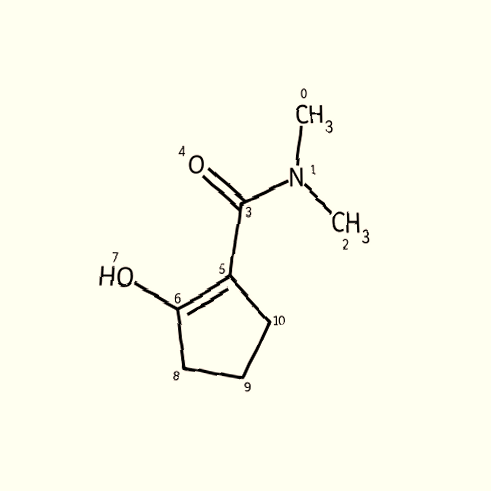 CN(C)C(=O)C1=C(O)CCC1